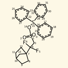 O=S(=O)(CC(F)(F)C12CCC(CC1)C2)OS(c1ccccc1)(c1ccccc1)c1ccccc1